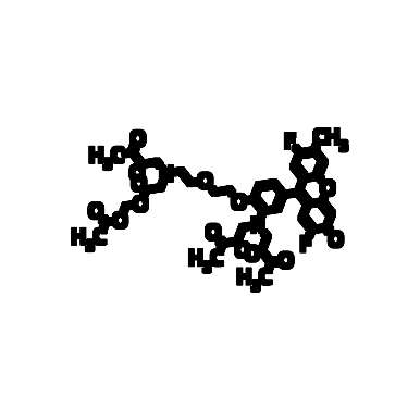 CC(=O)OCOC(=O)CN(CCOCCOc1ccc(-c2c3cc(F)c(=O)cc-3oc3cc(C)c(F)cc23)cc1N(CC(=O)C(C)=O)CC(=O)C(C)=O)CC(=O)C(C)=O